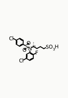 C[C@H](CCCS(=O)(=O)O)N(c1cc(Cl)ccc1F)S(=O)(=O)c1ccc(Cl)cc1